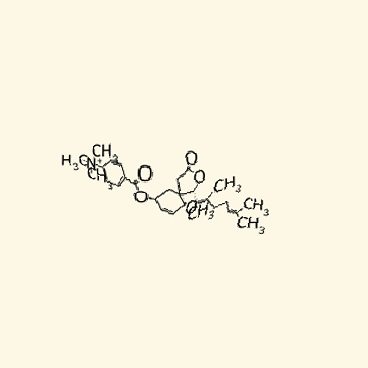 CC(C)=CCC/C(C)=C(\C)[C@H]1OC(=O)CC12C[C@H](OC(=O)c1ccc([N+](C)(C)C)cc1)C=CC2=O